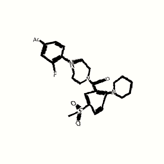 CC(=O)c1ccc(N2CCN(C(=O)c3cc(S(C)(=O)=O)ccc3N3CCCCC3)CC2)c(F)c1